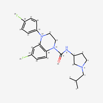 CC(C)CN1CCC(NC(=O)N2CCN(c3ccc(F)cc3)c3cc(F)ccc32)C1